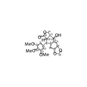 COc1cc(C2c3cc4c(cc3[C@H](O)C3COC(=O)[C@H]23)OCO4)cc(OC)c1OC